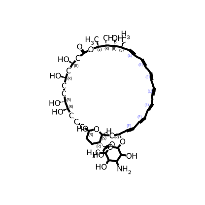 CC1OC(O[C@H]2/C=C/C=C/C=C/C=C/C=C/C=C/C=C/[C@H](C)[C@@H](O)[C@@H](C)[C@H](C)OC(=O)C[C@H](O)C[C@H](O)CC[C@@H](O)[C@H](O)CCC[C@]3(O)CC[C@@H](C(=O)O)[C@H](C2)O3)C(O)C(N)C1O